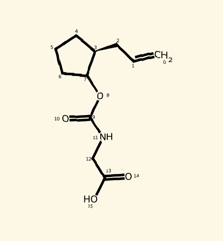 C=CC[C@@H]1CCCC1OC(=O)NCC(=O)O